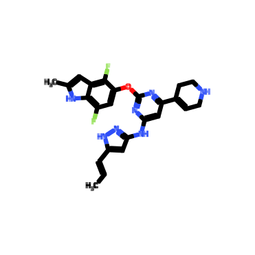 C/C=C/c1cc(Nc2cc(C3=CCNCC3)nc(Oc3cc(F)c4[nH]c(C)cc4c3F)n2)n[nH]1